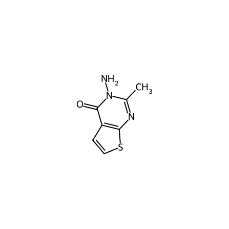 Cc1nc2sccc2c(=O)n1N